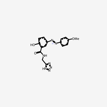 COc1ccc(/N=N/c2ccc(O)c(C(=O)NCc3nnn[nH]3)c2)cc1